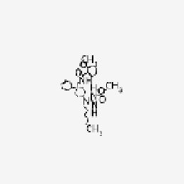 CCCCCCN(C(=N)NC(=O)OCC)C1CCC(CNC(=O)c2ccccc2OC)(c2ccccc2)CC1